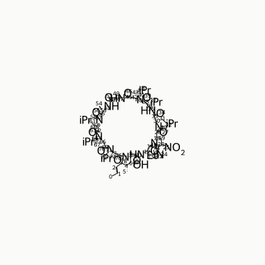 C/C=C/C[C@@H](C)[C@@H](O)[C@H]1C(=O)N[C@@H](CC)C(=O)N(C)[C@H](CC(CN(C)C)[N+](=O)[O-])C(=O)N(C)[C@@H](CC(C)C)C(=O)N[C@@H](C(C)C)C(=O)N(C)[C@@H](CC(C)C)C(=O)N[C@@H](C)C(=O)N[C@H](C)C(=O)N(C)[C@@H](CC(C)C)C(=O)N(C)[C@@H](CC(C)C)C(=O)N(C)[C@@H](C(C)C)C(=O)N1C